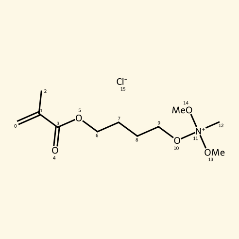 C=C(C)C(=O)OCCCCO[N+](C)(OC)OC.[Cl-]